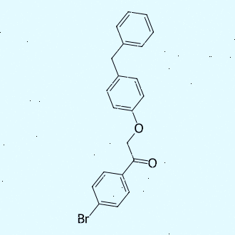 O=C(COc1ccc(Cc2ccccc2)cc1)c1ccc(Br)cc1